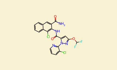 NC(=O)c1cc2ccccc2c(Cl)c1NC(=O)c1cc(OC(F)F)nn1-c1ncccc1Cl